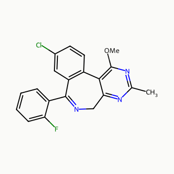 COc1nc(C)nc2c1-c1ccc(Cl)cc1C(c1ccccc1F)=NC2